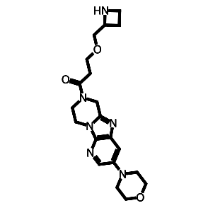 O=C(CCOCC1CCN1)N1CCn2c(nc3cc(N4CCOCC4)cnc32)C1